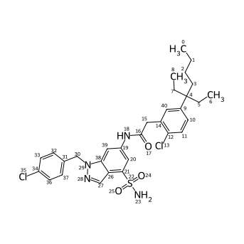 CCCCC(CC)(CC)c1ccc(Cl)c(CC(=O)Nc2cc(S(N)(=O)=O)c3cnn(Cc4ccc(Cl)cc4)c3c2)c1